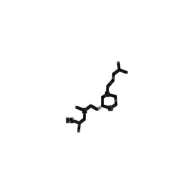 CC(C)CCCN1CCO[C@H](CCN(C)CC(C)S)C1